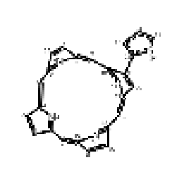 C1=CC2=NC1=CC1=NC(=CC3=NC(=CC4=NC(=C2)C=C4)C=C3c2cccs2)C=C1